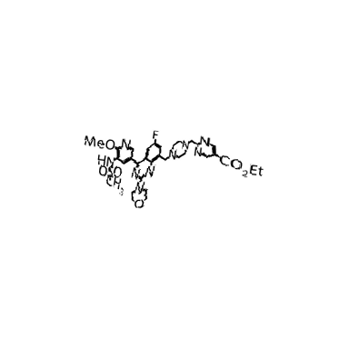 CCOC(=O)c1cnc(CN2CCN(Cc3cc(F)cc4c(-c5cnc(OC)c(NS(C)(=O)=O)c5)nc(N5CCOCC5)nc34)CC2)nc1